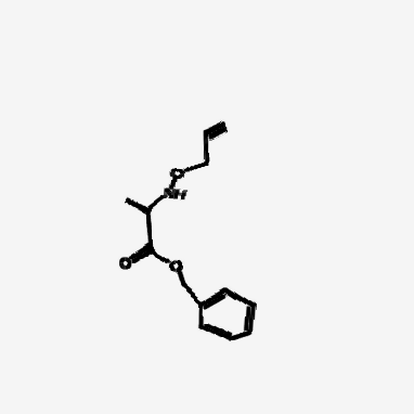 C=CCONC(C)C(=O)OCc1ccccc1